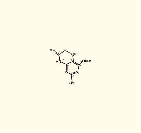 COc1cc(Br)cc2c1OCC(=O)N2